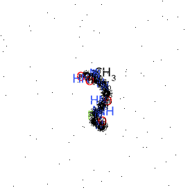 Cn1nc(C2CCC(=O)NC2=O)c2ccc(N3CCN(C[C@H]4CC[C@H](C(=O)NC5CCC(Nc6ncc(F)c(-c7cccc(-n8ccccc8=O)c7)n6)CC5)CC4)CC3)cc21